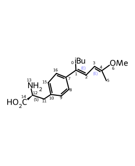 CCC(C)/C(=C\C=C(/C)OC)c1ccc(C[C@H](N)C(=O)O)cc1